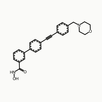 O=C(NO)c1cccc(-c2ccc(C#Cc3ccc(CN4CCOCC4)cc3)cc2)c1